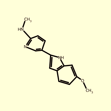 CNc1ccc(-c2cc3ccc(OC)cc3[nH]2)cn1